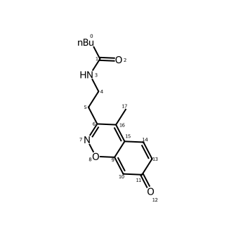 CCCCC(=O)NCCc1noc2cc(=O)ccc-2c1C